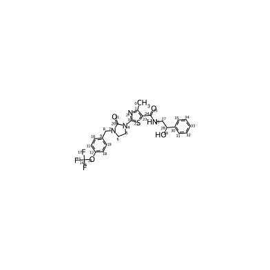 Cc1nc(N2CCN(Cc3ccc(OC(F)(F)F)cc3)C2=O)sc1C(=O)NCC(O)c1ccccc1